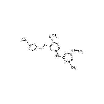 CNc1cc(C)nc(Nc2ccc(OC)c(OC[C@@H]3CCN(C4CC4)C3)c2)n1